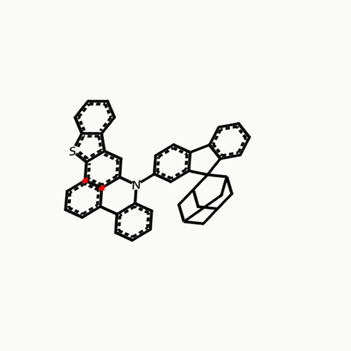 c1ccc(-c2ccccc2N(c2ccc3c(c2)C2(c4ccccc4-3)C3CC4CC(C3)CC2C4)c2ccc3sc4ccccc4c3c2)cc1